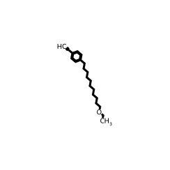 C#Cc1ccc(CCCCCCCCCCCOCC)cc1